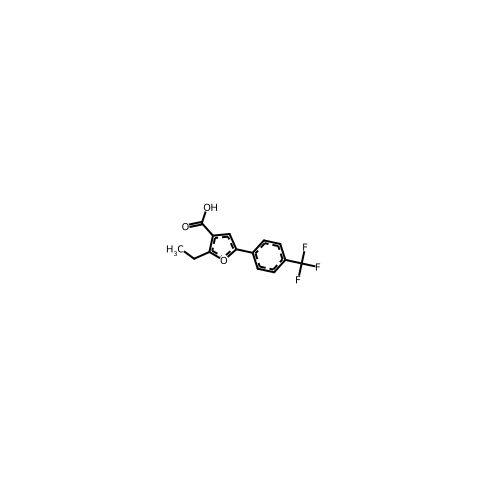 CCc1oc(-c2ccc(C(F)(F)F)cc2)cc1C(=O)O